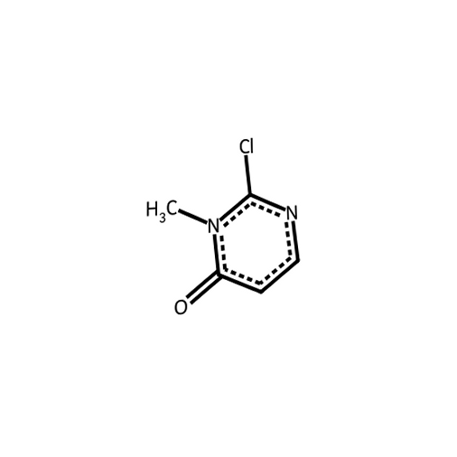 Cn1c(Cl)nccc1=O